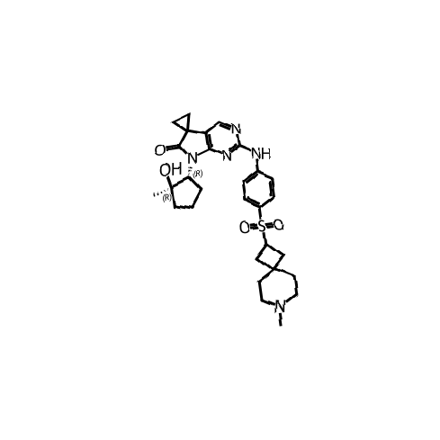 CN1CCC2(CC1)CC(S(=O)(=O)c1ccc(Nc3ncc4c(n3)N([C@@H]3CCC[C@@]3(C)O)C(=O)C43CC3)cc1)C2